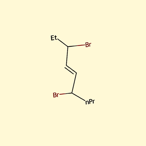 CCCC(Br)C=CC(Br)CC